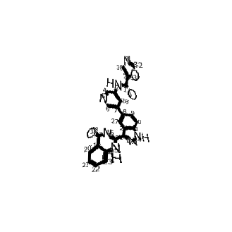 O=C(Nc1cncc(-c2ccc3[nH]nc(-c4nc(=O)c5ccccc5[nH]4)c3c2)c1)c1cnco1